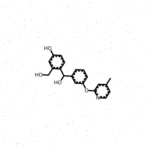 Cc1ccnc(Oc2cccc(C(O)c3ccc(O)cc3CO)c2)c1